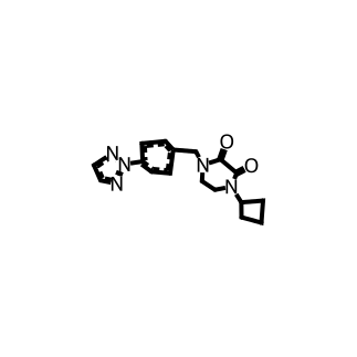 O=C1C(=O)N(C2CCC2)CCN1Cc1ccc(-n2nccn2)cc1